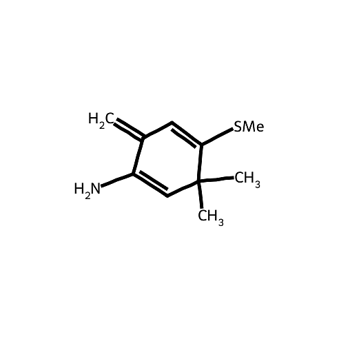 C=C1C=C(SC)C(C)(C)C=C1N